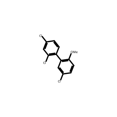 COc1[c]cc(Cl)cc1-c1ccc(Cl)cc1Cl